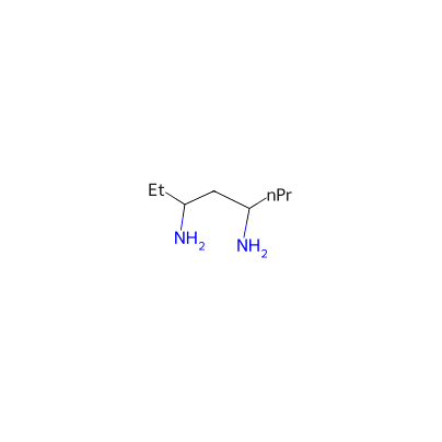 CCCC(N)CC(N)CC